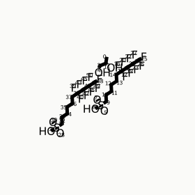 CC(O)CO.O=S(=O)(O)CCCCCCC(F)(F)C(F)(F)C(F)(F)C(F)(F)F.O=S(=O)(O)CCCCCCC(F)(F)C(F)(F)C(F)(F)C(F)(F)F